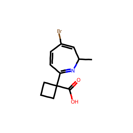 CC1C=C(Br)C=CC(C2(C(=O)O)CCC2)=N1